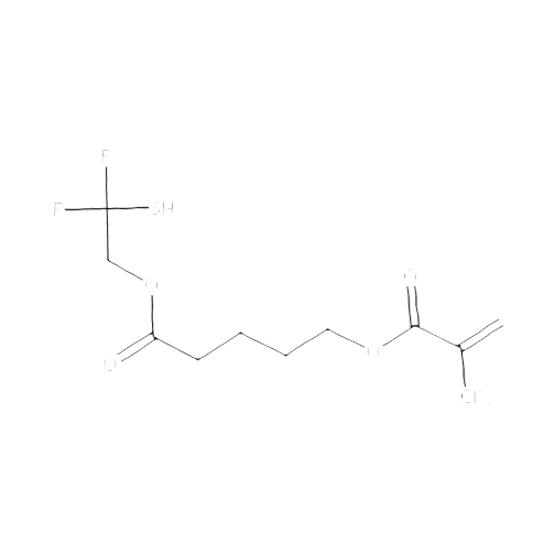 C=C(C(=O)OCCCCC(=O)OCC(F)(F)S)C(F)(F)F